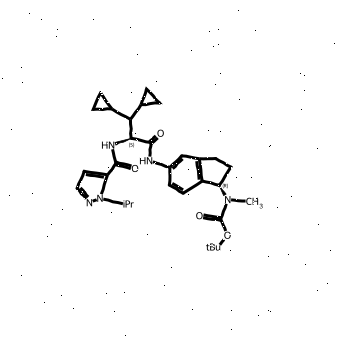 CC(C)n1nccc1C(=O)N[C@H](C(=O)Nc1ccc2c(c1)CC[C@H]2N(C)C(=O)OC(C)(C)C)C(C1CC1)C1CC1